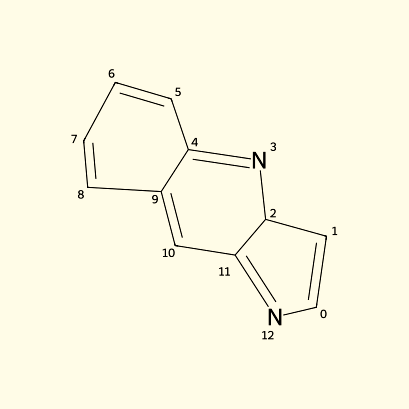 C1=CC2N=c3ccccc3=CC2=N1